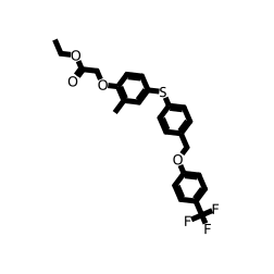 CCOC(=O)COc1ccc(Sc2ccc(COc3ccc(C(F)(F)F)cc3)cc2)cc1C